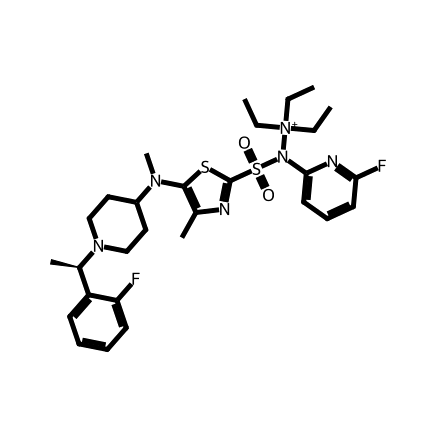 CC[N+](CC)(CC)N(c1cccc(F)n1)S(=O)(=O)c1nc(C)c(N(C)C2CCN([C@H](C)c3ccccc3F)CC2)s1